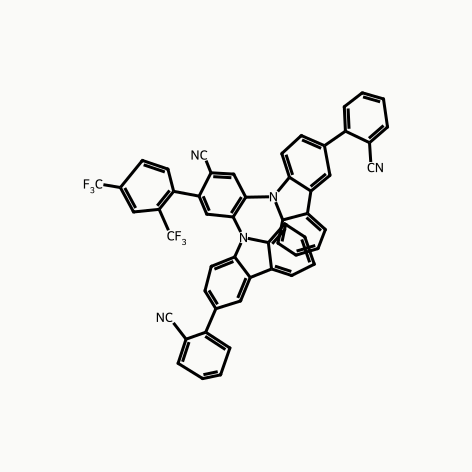 N#Cc1ccccc1-c1ccc2c(c1)c1ccccc1n2-c1cc(C#N)c(-c2ccc(C(F)(F)F)cc2C(F)(F)F)cc1-n1c2ccccc2c2cc(-c3ccccc3C#N)ccc21